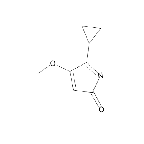 COC1=CC(=O)N=C1C1CC1